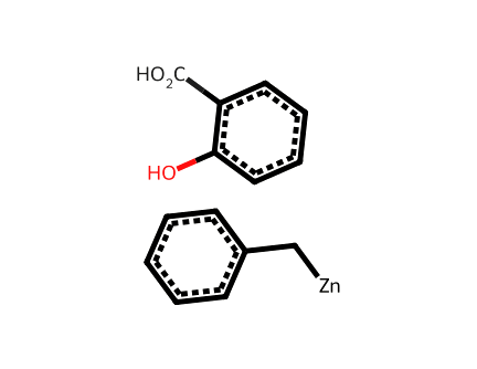 O=C(O)c1ccccc1O.[Zn][CH2]c1ccccc1